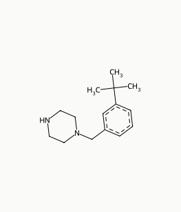 CC(C)(C)c1cccc(CN2CCNCC2)c1